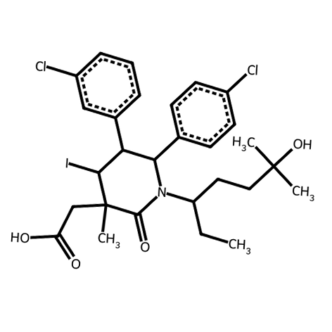 CCC(CCC(C)(C)O)N1C(=O)C(C)(CC(=O)O)C(I)C(c2cccc(Cl)c2)C1c1ccc(Cl)cc1